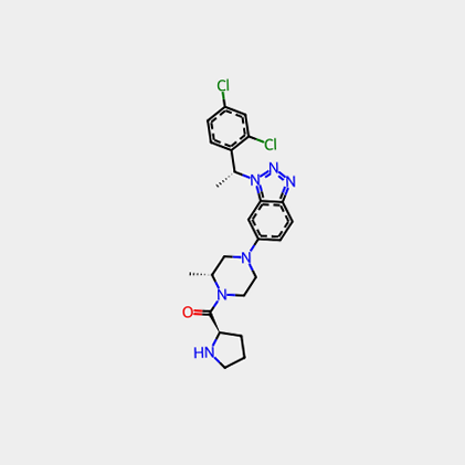 C[C@@H]1CN(c2ccc3nnn([C@H](C)c4ccc(Cl)cc4Cl)c3c2)CCN1C(=O)[C@H]1CCCN1